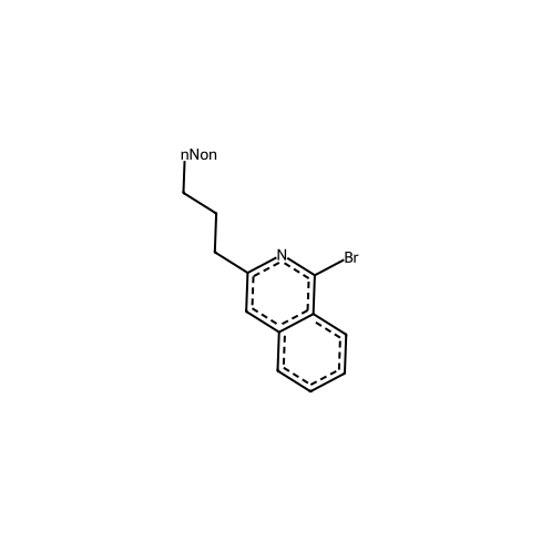 CCCCCCCCCCCCc1cc2ccccc2c(Br)n1